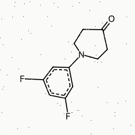 O=C1CCN(c2cc(F)cc(F)c2)CC1